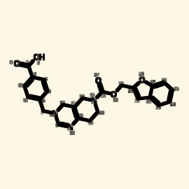 O=C(O)c1ccc(CN2C=NC3=C(C2)CN(C(=O)OCc2cc4ccccc4o2)CC3)cc1